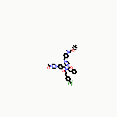 CC(=O)N1CCN(c2ccc(CN(C(=O)C=Cc3ccc(C(F)(F)F)cc3)C(Cc3ccccc3)C(=O)N3CCN(Cc4ccc(N(C)CCO[Si](C)(C)C(C)(C)C)cc4)CC3)cc2)CC1